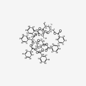 C[C@H]1[C@H](C)[C@@H](COC(=O)c2ccccc2)O[C@@H](OC[C@H]2O[C@@H](OC(C#N)c3ccccc3)[C@H](OC(=O)c3ccccc3)[C@@H](OC(=O)c3ccccc3)[C@@H]2OC(=O)c2ccccc2)[C@@H]1OC(=O)c1ccccc1